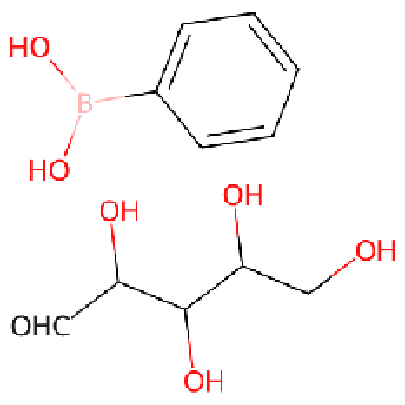 O=CC(O)C(O)C(O)CO.OB(O)c1ccccc1